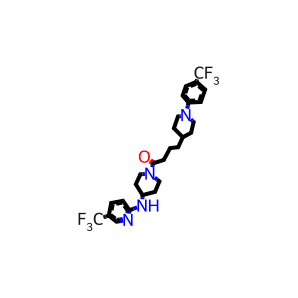 O=C(CCCC1CCN(c2ccc(C(F)(F)F)cc2)CC1)N1CCC(Nc2ccc(C(F)(F)F)cn2)CC1